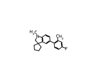 Cc1cc(F)ccc1-c1ccc2c(c1)C1(CCCC1)CN2C